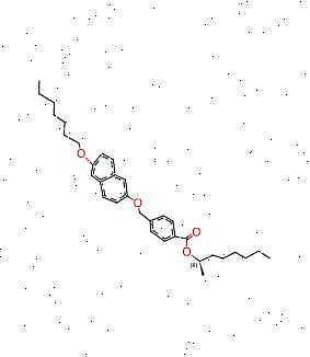 CCCCCCCOc1ccc2cc(OCc3ccc(C(=O)O[C@H](C)CCCCCC)cc3)ccc2c1